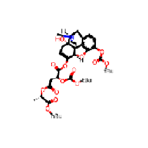 CCCCOC(=O)[C@H](C)OC(=O)C[C@H](OC(=O)OC(C)(C)C)C(=O)OC1=CC[C@@]2(O)[C@H]3Cc4ccc(OC(=O)OC(C)(C)C)c5c4[C@@]2(CCN3C)[C@H]1O5